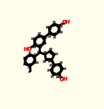 Cc1cccc(C(c2cc(-c3ccc(O)cc3)ccc2O)C2C=CC(c3ccc(O)cc3)=C2)c1